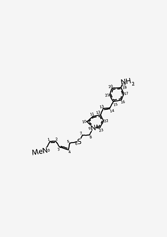 CN/C=C\C=C/CSCC[n+]1ccc(/C=C/c2ccc(N)cc2)cc1